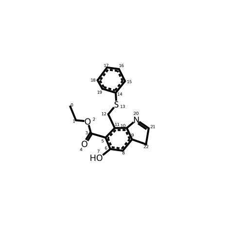 CCOC(=O)c1c(O)cc2c(c1CSc1ccccc1)N=CC2